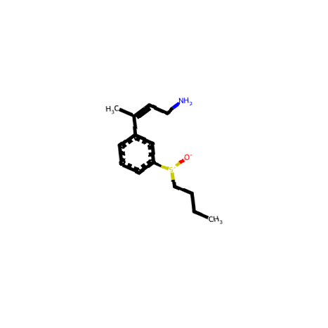 CCCC[S+]([O-])c1cccc(/C(C)=C\CN)c1